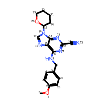 COc1ccc(CNc2nc(C#N)nc3c2ncn3C2CCCCO2)cc1